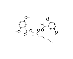 [CH2]CCCC[C](OOC(=O)c1cc(OC)ccc1OC)OOC(=O)c1cc(OC)ccc1OC